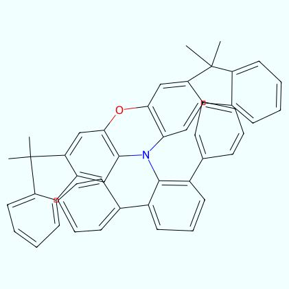 CC1(C)c2ccccc2-c2cc3c(cc21)Oc1cc2c(cc1N3c1c(-c3ccccc3)cccc1-c1ccccc1)-c1ccccc1C2(C)C